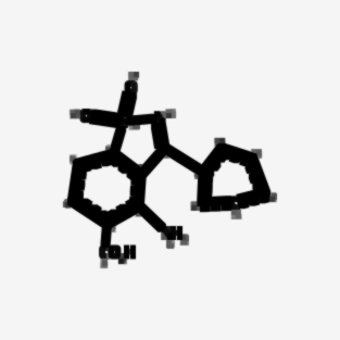 Nc1c(C(=O)O)ccc2c1C(c1ccccc1)=NS2(=O)=O